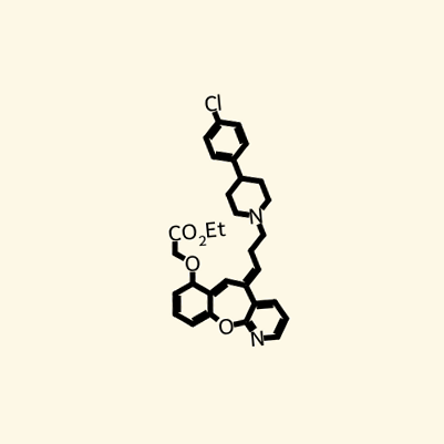 CCOC(=O)COC1C=CC=C2Oc3ncccc3C(=CCCN3CCC(c4ccc(Cl)cc4)CC3)C=C21